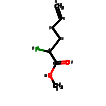 C=CCCC(F)C(=O)OC